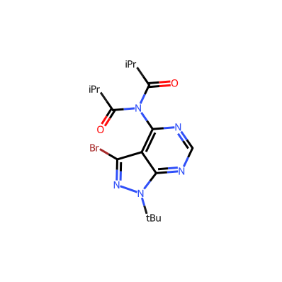 CC(C)C(=O)N(C(=O)C(C)C)c1ncnc2c1c(Br)nn2C(C)(C)C